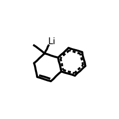 [Li][C]1(C)CC=Cc2ccccc21